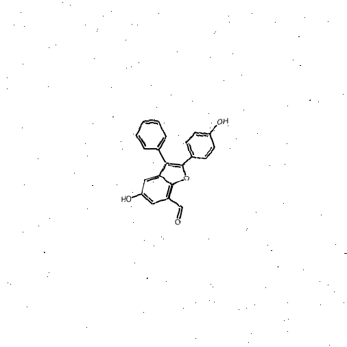 O=Cc1cc(O)cc2c(-c3ccccc3)c(-c3ccc(O)cc3)oc12